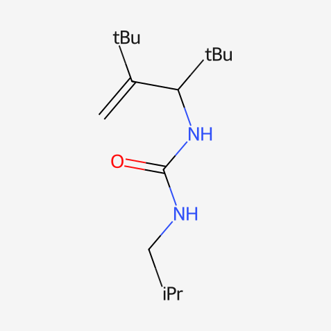 C=C(C(NC(=O)NCC(C)C)C(C)(C)C)C(C)(C)C